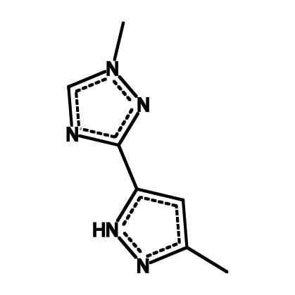 Cc1cc(-c2ncn(C)n2)[nH]n1